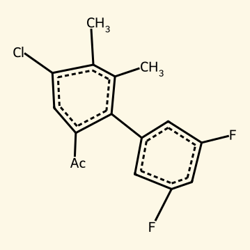 CC(=O)c1cc(Cl)c(C)c(C)c1-c1cc(F)cc(F)c1